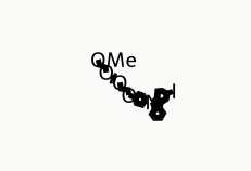 COCCOCCOCCOc1ccc(-n2c3ccccc3c3cc(I)ccc32)cc1